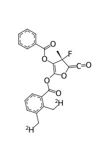 [2H]Cc1cccc(C(=O)OC2=C(OC(=O)c3ccccc3)[C@](C)(F)C(=C=O)O2)c1C[2H]